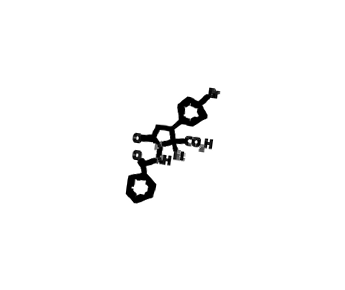 CC[C@]1(C(=O)O)[C@H](c2ccc(Br)cc2)CC(=O)N1NC(=O)c1ccccc1